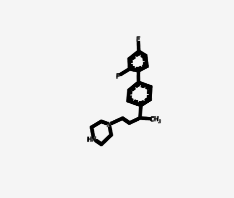 CC(CCN1CCNCC1)c1ccc(-c2ccc(F)cc2F)cc1